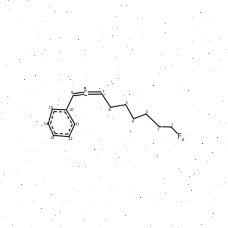 FCCCCCCC=C=Cc1ccccc1